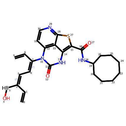 C=C/C(BO)=C\C=C(/C=C)N1C(=O)Nc2c(C(=O)NC3CCCCCCC3)sc3nccc1c23